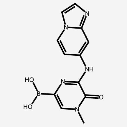 Cn1cc(B(O)O)nc(Nc2ccn3ccnc3c2)c1=O